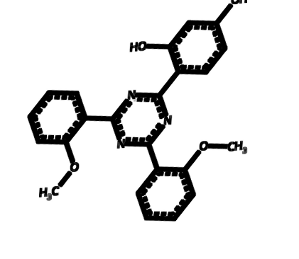 COc1ccccc1-c1nc(-c2ccc(O)cc2O)nc(-c2ccccc2OC)n1